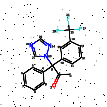 CC(=O)C(c1ccccc1)(c1cccc(C(F)(F)F)c1)n1cncn1